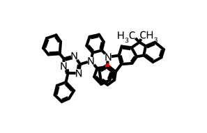 CC1(C)c2ccccc2-c2cc3c4ccccc4n(-c4ccccc4N(c4ccccc4)c4nc(-c5ccccc5)nc(-c5ccccc5)n4)c3cc21